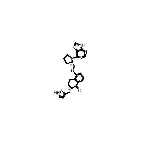 O=C1c2cccc(OC[C@H]3CCCN3c3ncnc4[nH]cnc34)c2CC[C@H]1Cc1cc[nH]n1